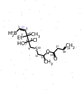 B/C=C\C(C)(CC)C(O)(Cl)CSCC(C)OC(=O)CC=C